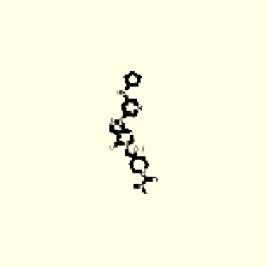 CN(C)C(=O)N1CCC(O)(Cn2cnc3c(cnn3-c3cncc(NC4CCCC4)c3)c2=O)CC1